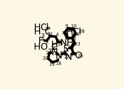 CC(CF)C[C@H](Nc1ccccc1C=C1SC(N2CCCCN2)=NC1=O)C(=O)O.Cl.Cl